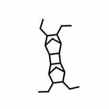 CCC1C(CC)C2CC1C1C2C2C3CC(C(CC)C3CC)C12